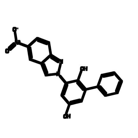 O=[N+]([O-])c1ccc2nn(-c3cc(O)cc(-c4ccccc4)c3O)cc2c1